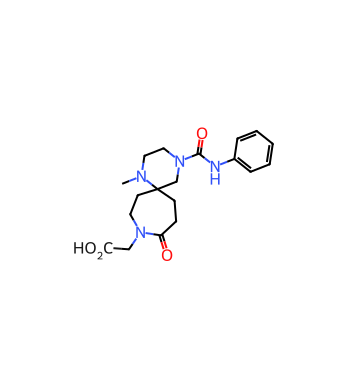 CN1CCN(C(=O)Nc2ccccc2)CC12CCC(=O)N(CC(=O)O)CC2